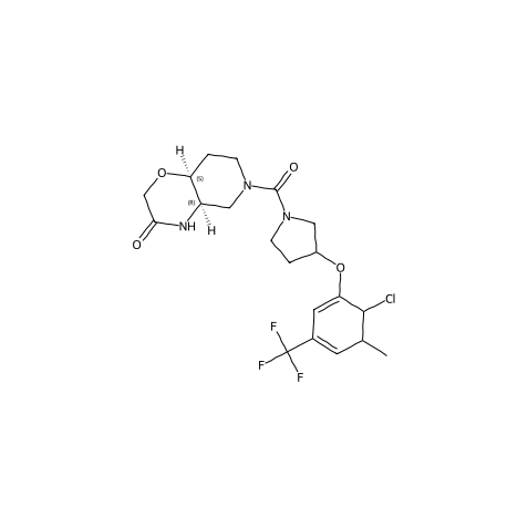 CC1C=C(C(F)(F)F)C=C(OC2CCN(C(=O)N3CC[C@@H]4OCC(=O)N[C@@H]4C3)C2)C1Cl